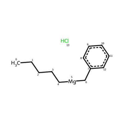 CCCC[CH2][Mg][CH2]c1ccccc1.Cl